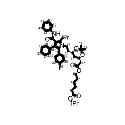 [CH2]C([CH2])OC(=O)CCCCCOC(=O)C[C@H]1C[C@@H](CCn2c(-c3ccc(F)cc3)c(-c3ccccc3)c(C(=O)Nc3ccccc3)c2C(C)C)OC(C)(C)O1